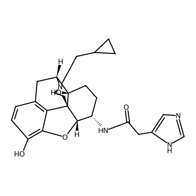 O=C(Cc1cnc[nH]1)N[C@H]1CC[C@@]2(O)[C@H]3Cc4ccc(O)c5c4[C@@]2(CCN3CC2CC2)[C@H]1O5